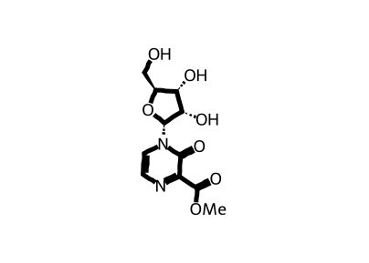 COC(=O)c1nccn([C@@H]2O[C@@H](CO)[C@H](O)[C@@H]2O)c1=O